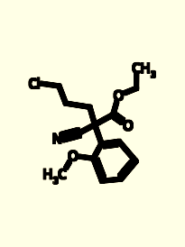 CCOC(=O)C(C#N)(CCCCl)c1ccccc1OC